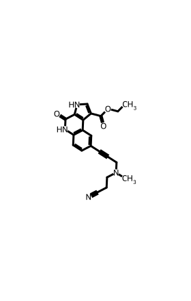 CCOC(=O)c1c[nH]c2c(=O)[nH]c3ccc(C#CCN(C)CCC#N)cc3c12